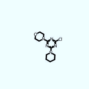 Clc1nc(N2CCCCC2)nc(N2CCOCC2)n1